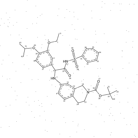 CCOc1cc(C(Nc2ccc3c(c2)CN(C(=O)OC(C)(C)C)CC3)C(=O)NS(=O)(=O)c2ccccc2)ccc1OC(C)C